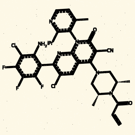 C=CC(=O)N1[C@H](C)CN(c2c(C#N)c(=O)n(-c3c(C)ccnc3C(C)C)c3nc(-c4c(N)c(Cl)c(F)c(F)c4F)c(Cl)cc23)C[C@@H]1C